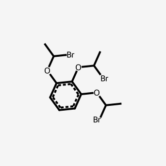 CC(Br)Oc1cccc(OC(C)Br)c1OC(C)Br